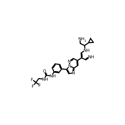 N=C/C(=C\NC(CN)C1CC1)c1cnn2c(-c3cccc(NC(=O)NCC(F)(F)F)c3)cnc2c1